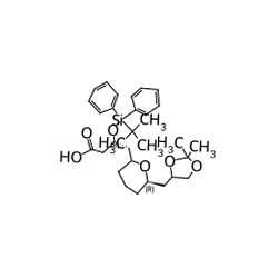 CC1(C)OCC(C[C@H]2CCCC(C[C@H](CC(=O)O)O[Si](c3ccccc3)(c3ccccc3)C(C)(C)C)O2)O1